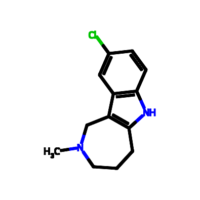 CN1CCCc2[nH]c3ccc(Cl)cc3c2C1